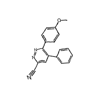 COc1ccc(-c2nnc(C#N)cc2-c2ccccc2)cc1